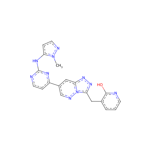 Cn1nccc1Nc1nccc(-c2cnn3c(Cc4cccnc4O)nnc3c2)n1